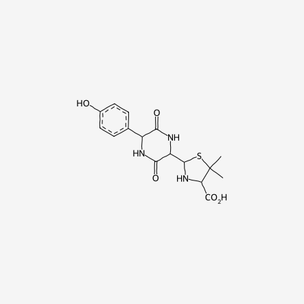 CC1(C)SC(C2NC(=O)C(c3ccc(O)cc3)NC2=O)NC1C(=O)O